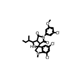 CCC(C)C1NC2(CN(C)c3c(Cl)cc(Cl)cc32)C2C(=O)N(c3cc(Cl)cc(OC)c3)C(=O)C12